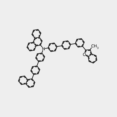 Cc1c(-c2cccc(-c3ccc(-c4ccc(N(c5ccc(-c6ccc(-c7cccc8ccccc78)cc6)cc5)c5cc6ccccc6c6ccccc56)cc4)cc3)c2)oc2ccccc12